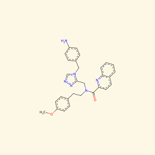 COc1ccc(CCN(Cc2nncn2Cc2ccc(N)cc2)C(=O)c2ccc3ccccc3n2)cc1